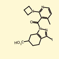 Cc1ccnc(N2CCC2)c1C(=O)n1nc(I)c2c1CC(C(=O)O)CC2